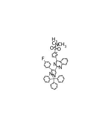 CN(C)S(=O)(=O)c1ccc(-c2nc(-c3cn(C(c4ccccc4)(c4ccccc4)c4ccccc4)nc3-c3ccc(F)cc3)nc3ccccc23)s1